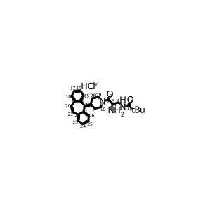 CC(C)(C)C(=O)NC[C@@H](N)C(=O)N1CCC(=C2c3ccccc3C=Cc3ccccc32)CC1.Cl